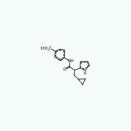 CCOC(=O)c1ccc(NC(=O)C(CC2CC2)c2ccc[nH]2)cc1